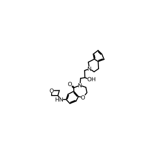 O=C1c2cc(NC3COC3)ccc2OCCN1CC(O)CN1CCc2ccccc2C1